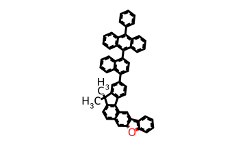 CC1(C)c2cc(-c3ccc(-c4c5ccccc5c(-c5ccccc5)c5ccccc45)c4ccccc34)ccc2-c2c1ccc1cc3oc4ccccc4c3cc21